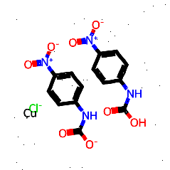 O=C(O)Nc1ccc([N+](=O)[O-])cc1.O=C([O-])Nc1ccc([N+](=O)[O-])cc1.[Cl-].[Cu]